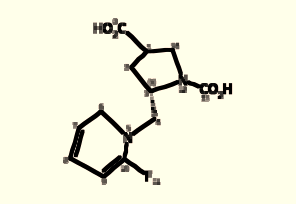 O=C(O)C1C[C@@H](CN2CC=CC=C2F)N(C(=O)O)C1